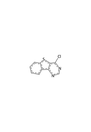 Clc1ncnc2c1sc1ccccc12